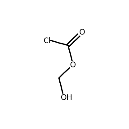 O=C(Cl)OCO